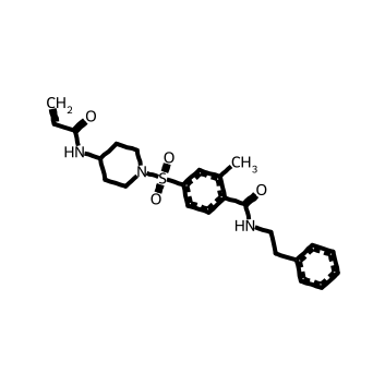 C=CC(=O)NC1CCN(S(=O)(=O)c2ccc(C(=O)NCCc3ccccc3)c(C)c2)CC1